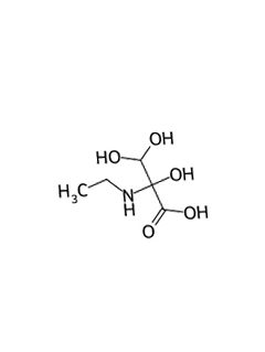 CCNC(O)(C(=O)O)C(O)O